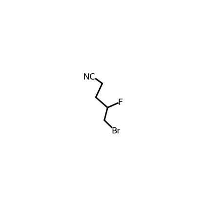 N#CCCC(F)CBr